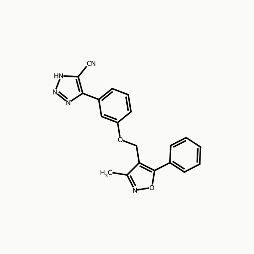 Cc1noc(-c2ccccc2)c1COc1cccc(-c2nn[nH]c2C#N)c1